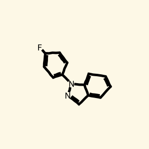 Fc1ccc(-n2ncc3ccccc32)cc1